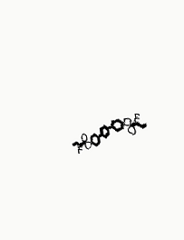 CC[C@H](F)C(=O)OC1CCC(c2ccc(C3CCC(OC(=O)[C@@H](F)CC)CC3)cc2)CC1